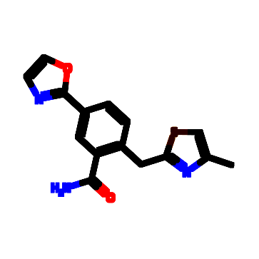 Cc1csc(Cc2ccc(-c3ncco3)cc2C(N)=O)n1